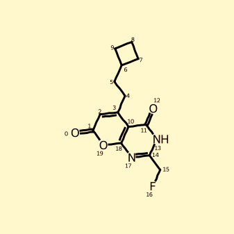 O=c1cc(CCC2CCC2)c2c(=O)[nH]c(CF)nc2o1